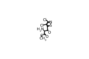 COC(=O)C(N)C(=O)c1snc(Cl)c1Cl